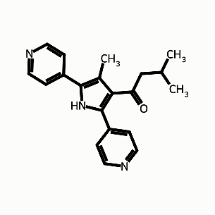 Cc1c(-c2ccncc2)[nH]c(-c2ccncc2)c1C(=O)CC(C)C